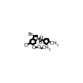 CCOC=O.Cc1ccc(S(=O)(=O)n2cc(Br)c3cc(Cl)ccc32)cc1